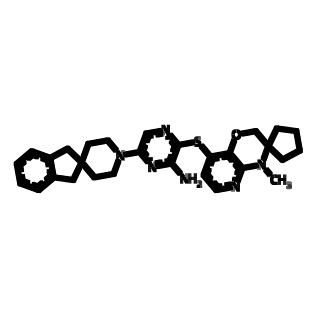 CN1c2nccc(Sc3ncc(N4CCC5(CC4)Cc4ccccc4C5)nc3N)c2OCC12CCCC2